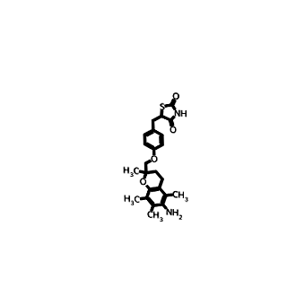 Cc1c(C)c2c(c(C)c1N)CCC(C)(COc1ccc(CC3SC(=O)NC3=O)cc1)O2